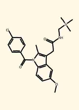 COc1ccc2c(c1)c(CC(=O)NC[Si](C)(C)C)c(C)n2C(=O)c1ccc(Cl)cc1